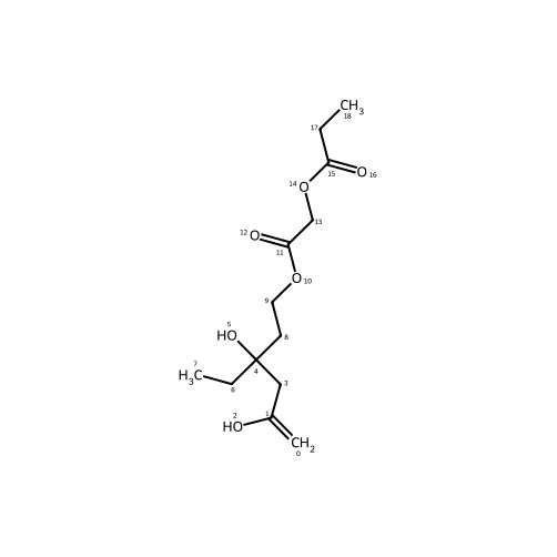 C=C(O)CC(O)(CC)CCOC(=O)COC(=O)CC